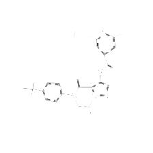 Cc1cc(C(=O)Nc2cnn3c2C(=O)N(c2ccc(C(F)(F)F)cc2)C[C@@H]3C)cc(C)n1